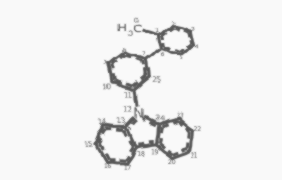 Cc1ccccc1-c1cccc(-n2c3ccccc3c3ccccc32)c1